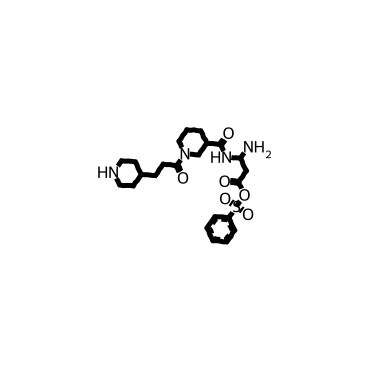 NC(CC(=O)OS(=O)(=O)c1ccccc1)NC(=O)C1CCCN(C(=O)CCC2CCNCC2)C1